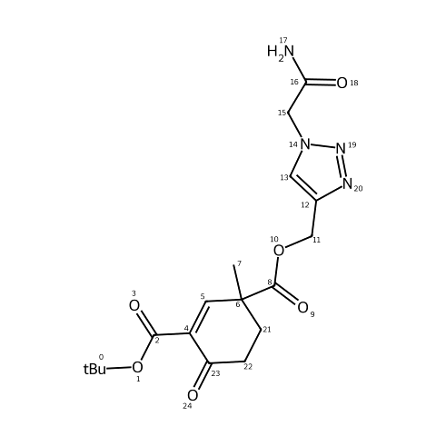 CC(C)(C)OC(=O)C1=CC(C)(C(=O)OCc2cn(CC(N)=O)nn2)CCC1=O